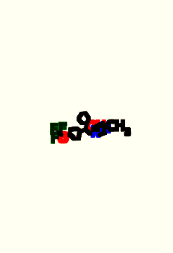 CN1CCN(CC(c2ccc(OC(F)(F)F)cc2)C2(O)CCCCC2)CC1